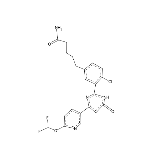 NC(=O)CCCCc1ccc(Cl)c(-c2nc(-c3ccc(OC(F)F)nc3)cc(=O)[nH]2)c1